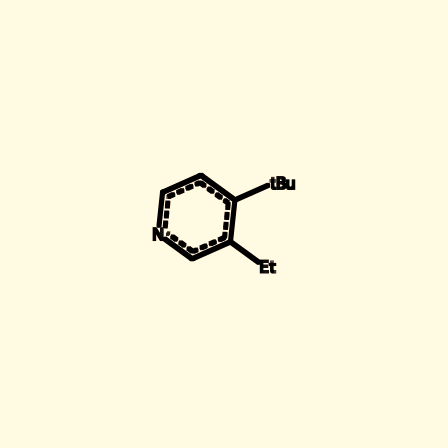 CCc1cnccc1C(C)(C)C